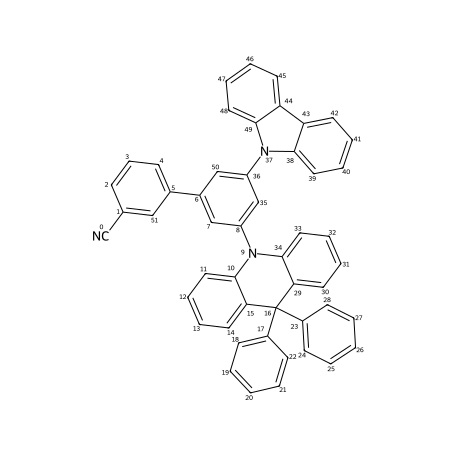 N#Cc1cccc(-c2cc(N3c4ccccc4C(c4ccccc4)(c4ccccc4)c4ccccc43)cc(-n3c4ccccc4c4ccccc43)c2)c1